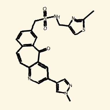 Cc1nc(CNS(=O)(=O)Cc2ccc3ccc4ncc(-c5cnn(C)c5)cc4c(=O)c3c2)cs1